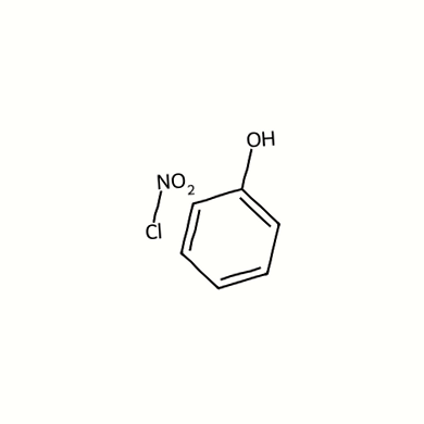 O=[N+]([O-])Cl.Oc1ccccc1